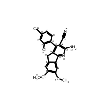 COc1cc2c(cc1OC)-c1nc(N)c(C#N)c(-c3ccc(Cl)cc3Cl)c1C2